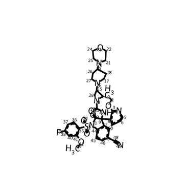 CCOc1ncccc1C1(NC(=O)N2CC(N3CCC(N4CCOCC4)CC3)C2)C(=O)N(S(=O)(=O)c2ccc(F)cc2OC)c2ccc(C#N)cc21